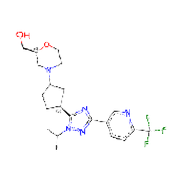 CC(C)n1nc(-c2ccc(C(F)(F)F)nc2)nc1[C@H]1CCC(N2CCO[C@H](CO)C2)C1